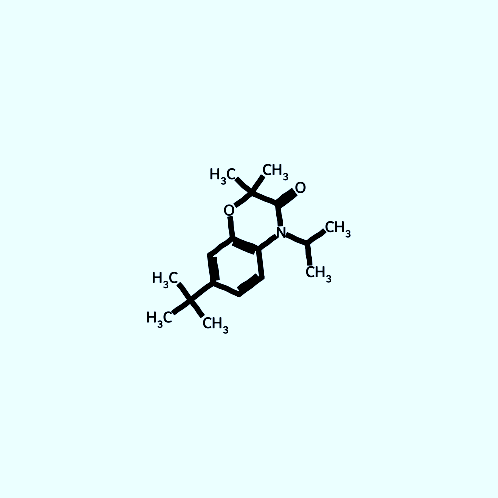 CC(C)N1C(=O)C(C)(C)Oc2cc(C(C)(C)C)ccc21